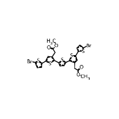 COC(=O)Cc1cc(-c2ccc(Br)s2)sc1-c1ccc(-c2sc(-c3ccc(Br)s3)cc2CC(=O)OC)s1